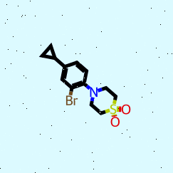 O=S1(=O)CCN(c2ccc(C3CC3)cc2Br)CC1